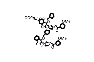 COc1cccc(C(=O)Cn2cc[n+](CC(OCc3ccccc3)c3ccccc3C)c2)c1.COc1cccc(C(=O)Cn2cc[n+](CC(OCc3ccccc3)c3ccccc3C)c2)c1.O=C([O-])/C=C/C(=O)[O-]